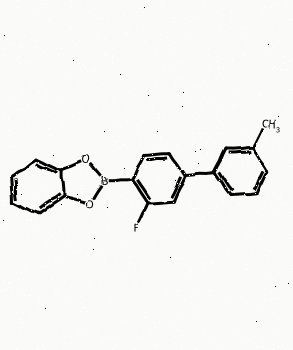 Cc1cccc(-c2ccc(B3Oc4ccccc4O3)c(F)c2)c1